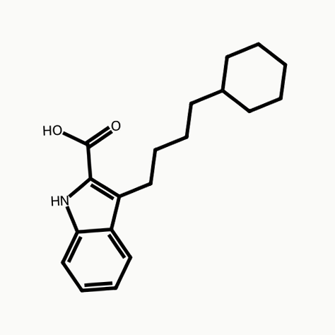 O=C(O)c1[nH]c2ccccc2c1CCCCC1CCCCC1